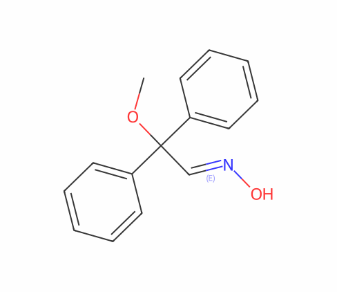 COC(/C=N/O)(c1ccccc1)c1ccccc1